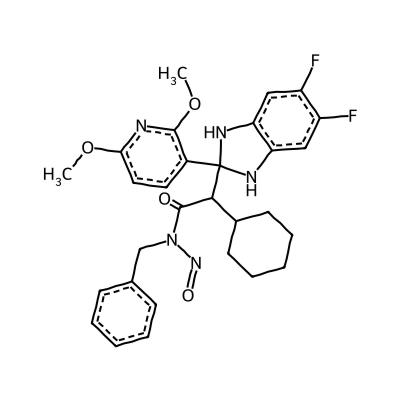 COc1ccc(C2(C(C(=O)N(Cc3ccccc3)N=O)C3CCCCC3)Nc3cc(F)c(F)cc3N2)c(OC)n1